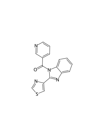 O=C(c1cccnc1)n1c(-c2cscn2)nc2ccccc21